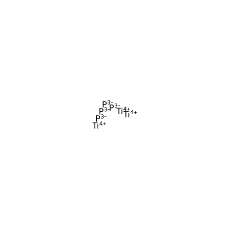 [P-3].[P-3].[P-3].[P-3].[Ti+4].[Ti+4].[Ti+4]